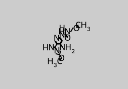 COCCNC(=O)Nc1cc(N)c(C(=N)N2CC(OC)C2)cn1